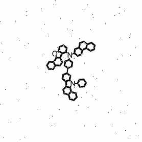 c1ccc(-n2c3cc(-c4ccc(N(c5ccc6c(ccc7ccccc76)c5)c5cccc6oc7c8ccccc8ccc7c56)cc4)ccc3c3ccc4ccccc4c32)cc1